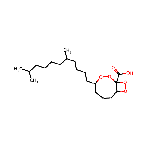 CC(C)CCCCC(C)CCCCC1CCCC2OOC2(C(=O)O)OO1